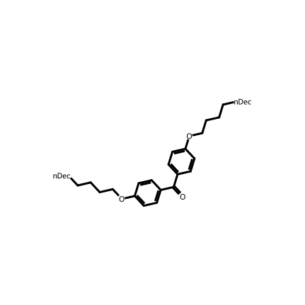 CCCCCCCCCCCCCCOc1ccc(C(=O)c2ccc(OCCCCCCCCCCCCCC)cc2)cc1